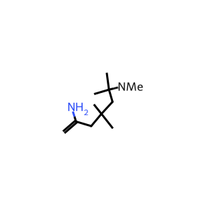 C=C(N)CC(C)(C)CC(C)(C)NC